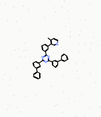 Cc1ccncc1-c1cccc(-c2nc(-c3cccc(-c4ccccc4)c3)nc(-c3cccc(-c4ccccc4)c3)n2)c1